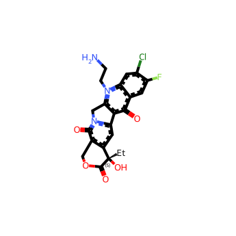 CC[C@@]1(O)C(=O)OCc2c1cc1n(c2=O)Cc2c-1c(=O)c1cc(F)c(Cl)cc1n2CCN